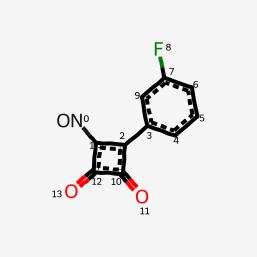 O=Nc1c(-c2cccc(F)c2)c(=O)c1=O